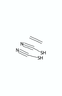 C=C.N#CS.N#CS